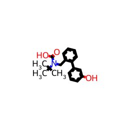 CC(C)(C)N(Cc1ccccc1-c1cccc(O)c1)C(=O)O